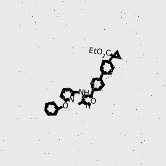 CCOC(=O)C1(c2ccc(-c3ccc(-c4onc(C)c4Nc4cccc(Oc5ccccc5)n4)cc3)cc2)CC1